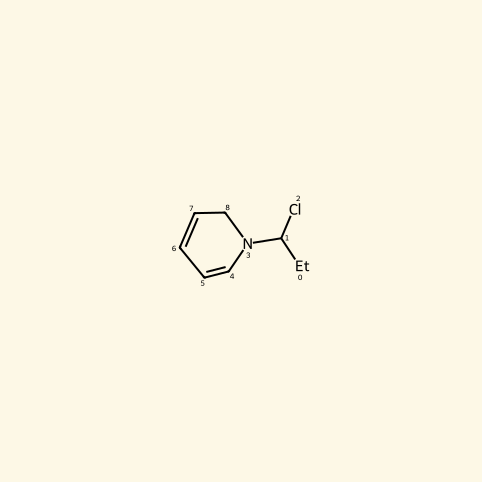 CCC(Cl)N1C=CC=CC1